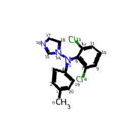 Cc1ccc(N(c2c(Cl)cccc2Cl)N2C=NCC2)cc1